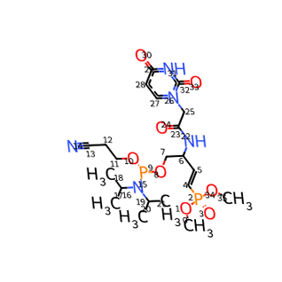 COP(=O)(C=CC(COP(OCCC#N)N(C(C)C)C(C)C)NC(=O)Cn1ccc(=O)[nH]c1=O)OC